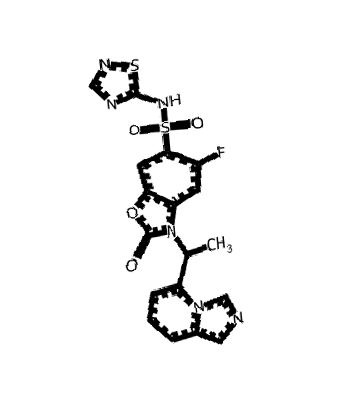 CC(c1cccc2cncn12)n1c(=O)oc2cc(S(=O)(=O)Nc3ncns3)c(F)cc21